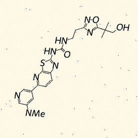 CNc1cncc(-c2ccc3nc(NC(=O)NCCc4noc(C(C)(C)CO)n4)sc3n2)c1